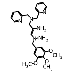 COc1cc(CN(N)/C=C(\N)CN(Cc2ccccn2)Cc2ccccn2)cc(OC)c1OC